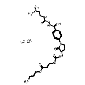 CCCCOC(=O)CCNC(=O)N[C@H]1CCN(c2ccc(C(=N)NOC(=O)NCCN(C)C)cc2)C1=O.Cl.Cl